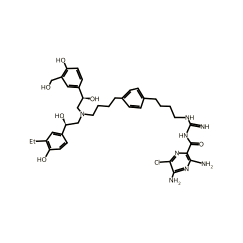 CCc1cc([C@@H](O)CN(CCCCc2ccc(CCCCNC(=N)NC(=O)c3nc(Cl)c(N)nc3N)cc2)C[C@H](O)c2ccc(O)c(CO)c2)ccc1O